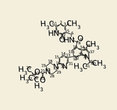 Cc1cc(C)c(CNC(=O)c2cc(-c3ccc(N4CCN(C(=O)OC(C)(C)C)CC4)nc3)cc3c2c(C)cn3C(C)C)c(=O)[nH]1